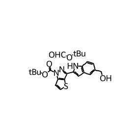 CC(C)(C)OC(=O)n1nc(-c2cc3cc(CO)ccc3[nH]2)c2sccc21.CC(C)(C)OC=O